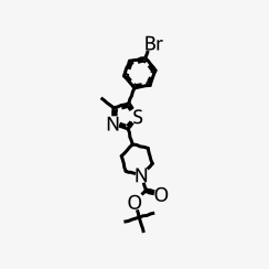 Cc1nc(C2CCN(C(=O)OC(C)(C)C)CC2)sc1-c1ccc(Br)cc1